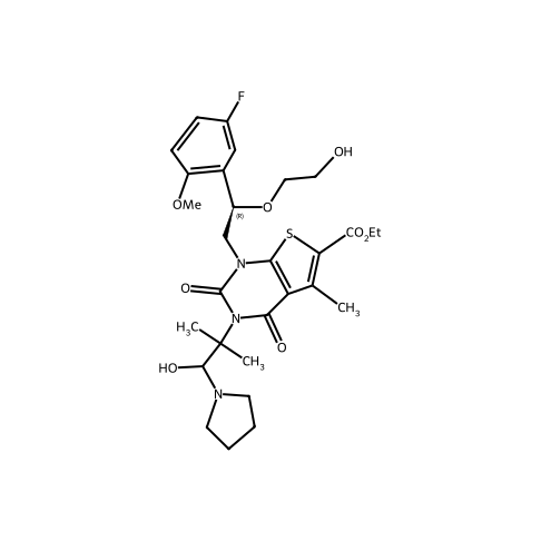 CCOC(=O)c1sc2c(c1C)c(=O)n(C(C)(C)C(O)N1CCCC1)c(=O)n2C[C@H](OCCO)c1cc(F)ccc1OC